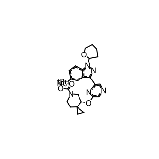 CC(C)(C)OC(=O)N1CCC2(CC2)[C@@H](Oc2cncc(-c3nn(C4CCCCO4)c4ccc(C#N)cc34)n2)C1